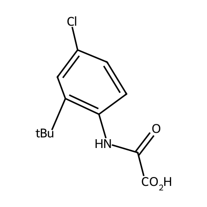 CC(C)(C)c1cc(Cl)ccc1NC(=O)C(=O)O